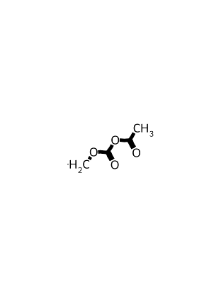 [CH2]OC(=O)OC(C)=O